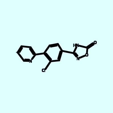 O=c1[nH]c(-c2ccc(-c3cc[c]cn3)c(Cl)c2)no1